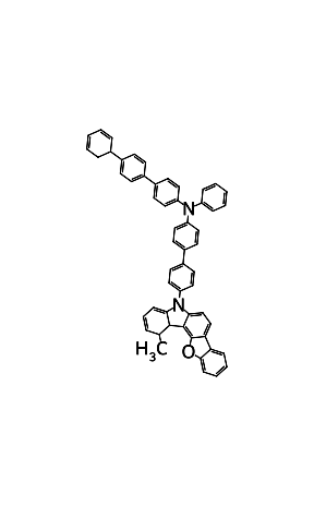 CC1C=CC=C2C1c1c(ccc3c1oc1ccccc13)N2c1ccc(-c2ccc(N(c3ccccc3)c3ccc(-c4ccc(C5C=CC=CC5)cc4)cc3)cc2)cc1